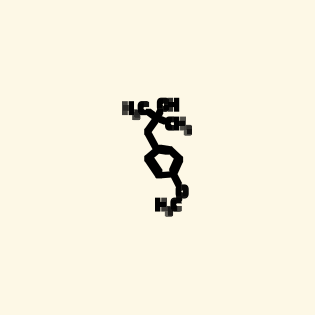 COc1ccc(CC(C)(C)O)cc1